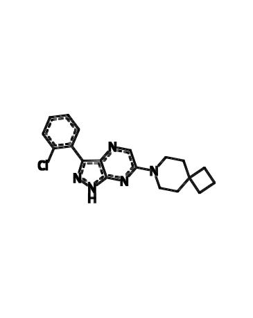 Clc1ccccc1-c1n[nH]c2nc(N3CCC4(CCC4)CC3)cnc12